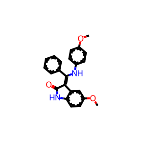 COc1ccc(NC(=C2C(=O)Nc3ccc(OC)cc32)c2ccccc2)cc1